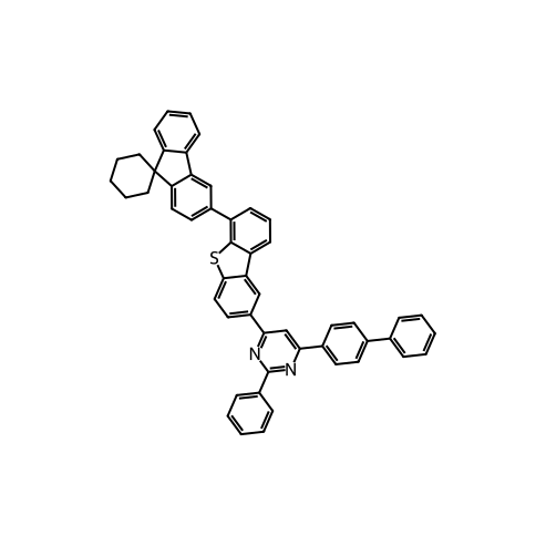 c1ccc(-c2ccc(-c3cc(-c4ccc5sc6c(-c7ccc8c(c7)-c7ccccc7C87CCCCC7)cccc6c5c4)nc(-c4ccccc4)n3)cc2)cc1